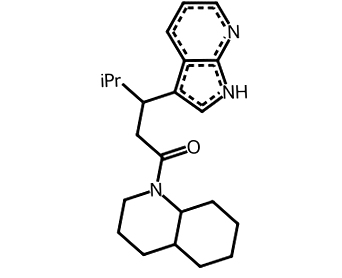 CC(C)C(CC(=O)N1CCCC2CCCCC21)c1c[nH]c2ncccc12